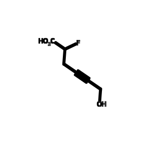 O=C(O)C(F)CC#CCO